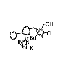 CCCCc1nc(Cl)c(CO)n1Cc1ccc(-c2ccccc2)c(-c2nnn[nH]2)c1.[K]